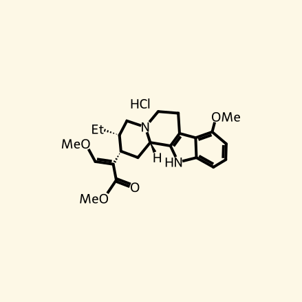 CC[C@@H]1CN2CCc3c([nH]c4cccc(OC)c34)[C@@H]2C[C@@H]1/C(=C\OC)C(=O)OC.Cl